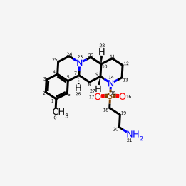 Cc1ccc2c(c1)[C@@H]1C[C@@H]3[C@@H](CCCN3S(=O)(=O)CCCN)CN1CC2